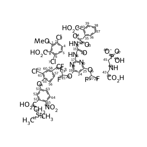 COc1c(Cl)ccc(Cl)c1C(=O)O.C[S+](C)C.O=C(Nc1nc(OC(F)F)cc(OC(F)F)n1)NS(=O)(=O)c1ccccc1C(=O)O.O=C(O)CNCP(=O)([O-])O.O=C(O)c1cc(Oc2ccc(C(F)(F)F)cc2Cl)ccc1[N+](=O)[O-]